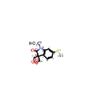 CCSc1ccc2c(c1)N(C(=O)O)C(=O)C2(CO)CO